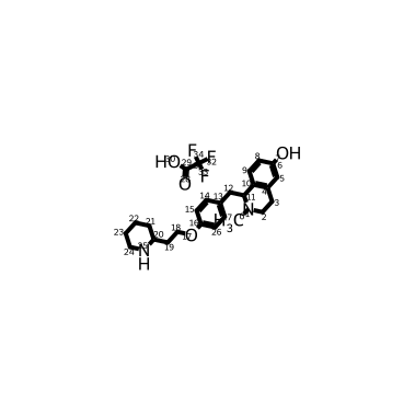 CN1CCc2cc(O)ccc2C1Cc1ccc(OCCC2CCCCN2)cc1.O=C(O)C(F)(F)F